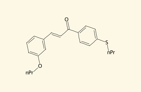 CCCOc1cccc(C=CC(=O)c2ccc(SCCC)cc2)c1